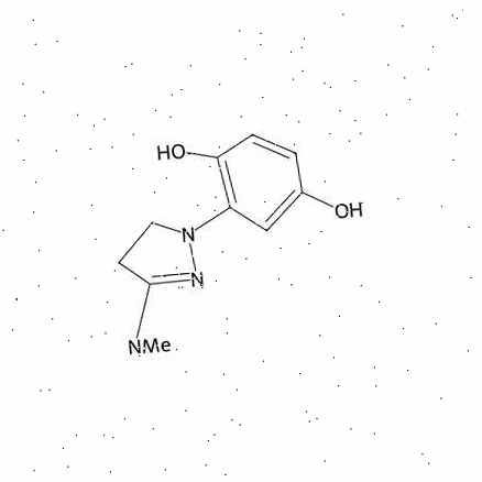 CNC1=NN(c2cc(O)ccc2O)CC1